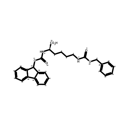 O=C(NCCCC[C@@H](NC(=O)OC1c2ccccc2-c2ccccc21)C(=O)O)OCc1ccccc1